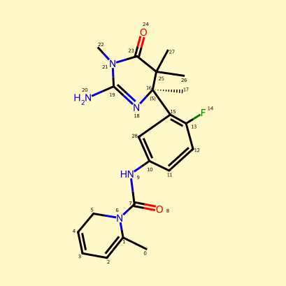 CC1=CC=CCN1C(=O)Nc1ccc(F)c([C@@]2(C)N=C(N)N(C)C(=O)C2(C)C)c1